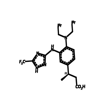 CC(C)CN(CC(C)C)c1ccc([C@H](C)CC(=O)O)cc1Nc1n[nH]c(C(F)(F)F)n1